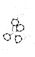 COc1ccc(C[P+](c2ccccc2)(c2ccccc2)c2ccccc2)cc1.[F][Cu-]([F])[F]